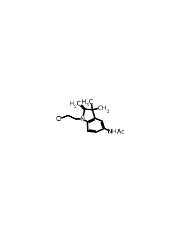 C=C1N(CCCl)c2ccc(NC(C)=O)cc2C1(C)C